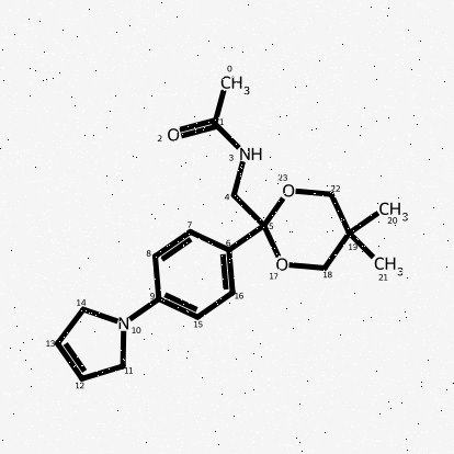 CC(=O)NCC1(c2ccc(N3CC=CC3)cc2)OCC(C)(C)CO1